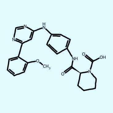 COc1ccccc1-c1cc(Nc2ccc(NC(=O)[C@@H]3CCCCN3C(=O)O)cc2)ncn1